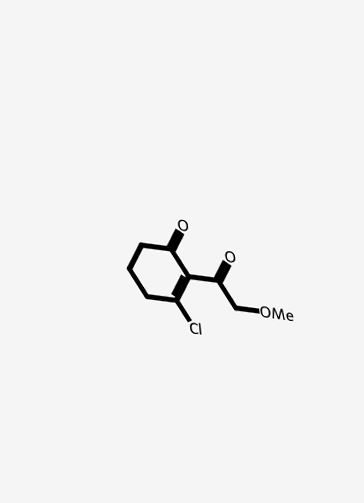 COCC(=O)C1=C(Cl)CCCC1=O